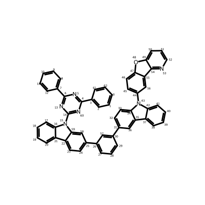 c1ccc(-c2nc(-c3ccccc3)nc(-n3c4ccccc4c4ccc(-c5cccc(-c6ccc7c(c6)c6ccccc6n7-c6ccc7oc8cccnc8c7c6)c5)cc43)n2)cc1